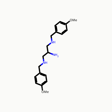 COc1ccc(CNCC(N)CNCc2ccc(OC)cc2)cc1